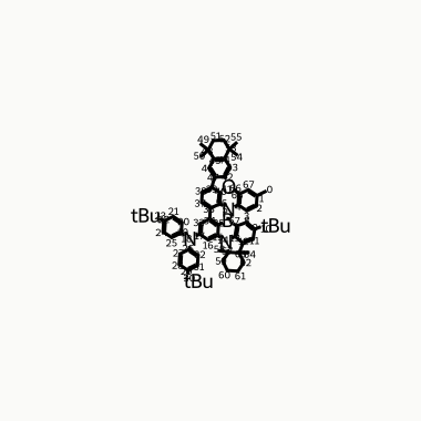 Cc1ccc(N2B3c4cc(C(C)(C)C)cc5c4N(c4cc(N(c6ccc(C(C)(C)C)cc6)c6ccc(C(C)(C)C)cc6)cc(c43)-c3ccc4c(oc6cc7c(cc64)C(C)(C)CCC7(C)C)c32)C2(C)CCCCC52C)c(C)c1